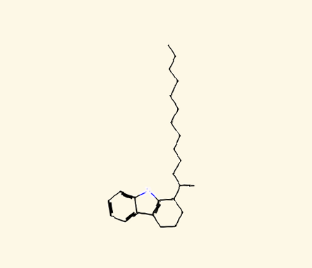 CCCCCCCCCCCC(C)C1CCCC2=C1[N]c1ccccc12